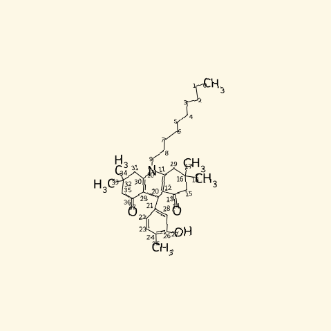 CCCCCCCCCCN1C2=C(C(=O)CC(C)(C)C2)C(c2ccc(C)c(O)c2)C2=C1CC(C)(C)CC2=O